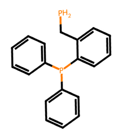 PCc1ccccc1P(c1ccccc1)c1ccccc1